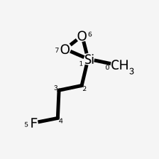 C[Si]1(CCCF)OO1